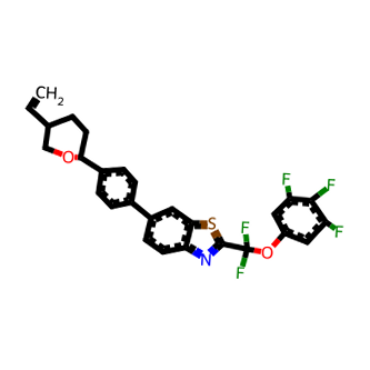 C=CC1CCC(c2ccc(-c3ccc4nc(C(F)(F)Oc5cc(F)c(F)c(F)c5)sc4c3)cc2)OC1